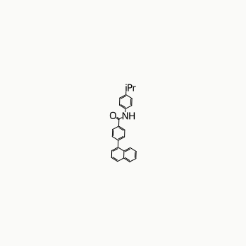 CC(C)c1ccc(NC(=O)c2ccc(-c3cccc4ccccc34)cc2)cc1